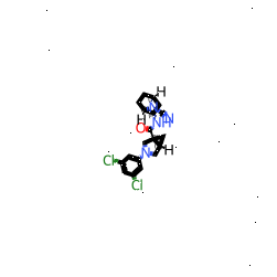 N#CN1[C@H]2CC[C@@H]1[C@H](NC(=O)[C@@]13C[C@@H]1CN(c1cc(Cl)cc(Cl)c1)C3)C2